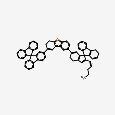 CCC/C=C\C1=CC2=C(C=C(c3ccc4sc5c(c4c3)C=C(c3ccc4c(c3)C3(c6ccccc6-c6ccccc63)c3ccccc3-4)CC5)CC2)C12C1=C(CCC=C1)c1ccccc12